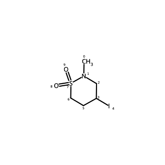 CN1CC(I)CCS1(=O)=O